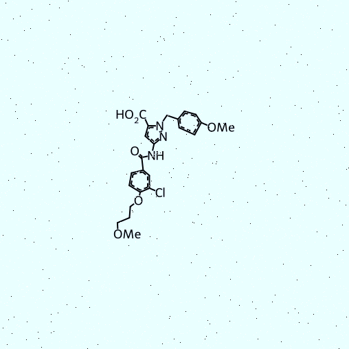 COCCCOc1ccc(C(=O)Nc2cc(C(=O)O)n(Cc3ccc(OC)cc3)n2)cc1Cl